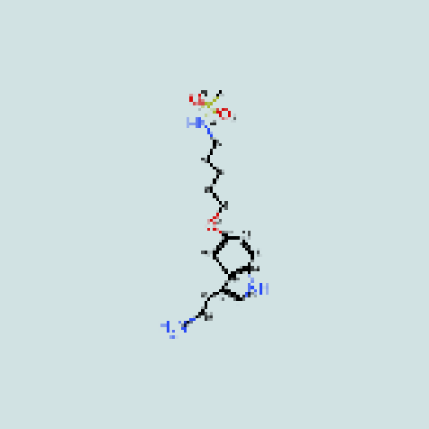 CS(=O)(=O)NCCCCCOc1ccc2[nH]cc(CCN)c2c1